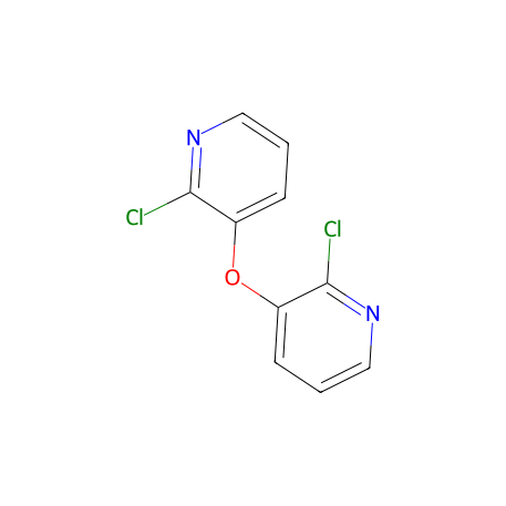 Clc1ncccc1Oc1cccnc1Cl